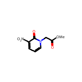 COC(=O)Cn1cccc([N+](=O)[O-])c1=O